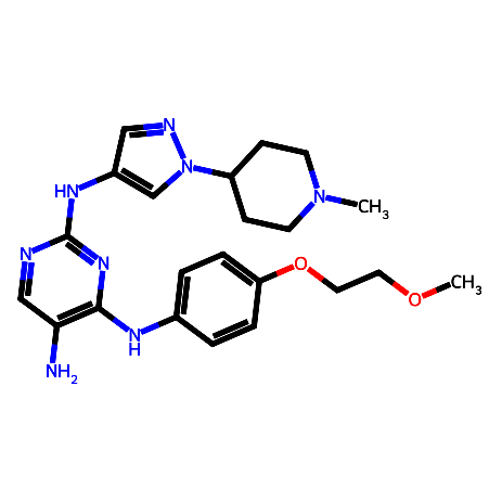 COCCOc1ccc(Nc2nc(Nc3cnn(C4CCN(C)CC4)c3)ncc2N)cc1